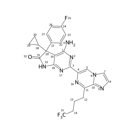 Nc1nc(-c2cn3ccnc3c(CCCC(F)(F)F)n2)nc2c1C(c1ccc(F)cc1)(C1CC1)C(=O)N2